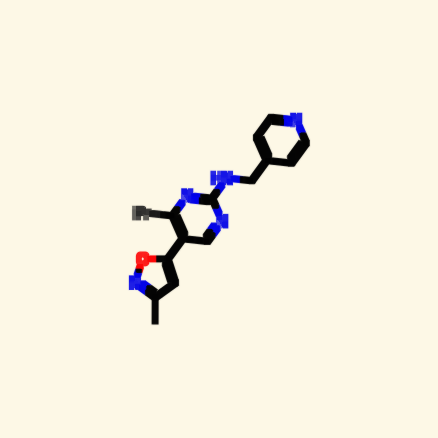 Cc1cc(-c2cnc(NCc3ccncc3)nc2C(C)C)on1